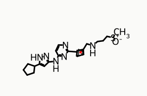 C[S+]([O-])CCCNCC12CC(C1)N(c1nccc(Nc3cc(C4CCCC4)[nH]n3)n1)C2